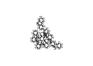 N#Cc1c2c3c(c(C#N)c1-n1c4cc(-c5ccc6sc7ccccc7c6c5)ccc4c4ccc(-c5ccc6sc7ccccc7c6c5)cc41)-n1c4ccccc4c4cccc(c41)B3c1ccccc1N2c1ccccc1